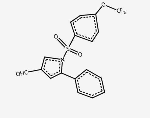 O=Cc1cc(-c2ccccc2)n(S(=O)(=O)c2ccc(OC(F)(F)F)cc2)c1